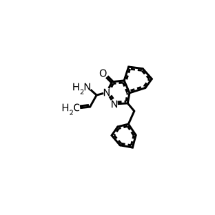 C=CC(N)n1nc(Cc2ccccc2)c2ccccc2c1=O